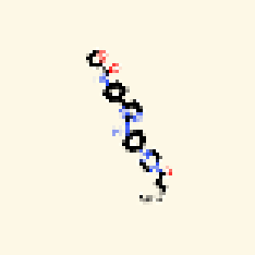 COCCC(=O)N1CCN(c2ccc(Nc3nccc(-c4ccc(NC(=O)[C@H]5CCCO5)cc4)n3)cc2)CC1